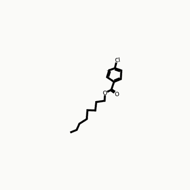 CCCCCCCCOC(=O)c1c[c]c(Cl)cc1